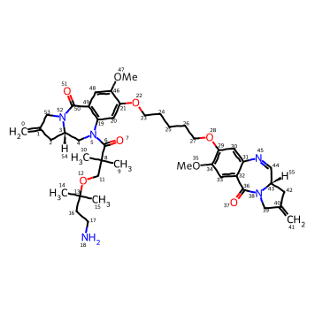 C=C1C[C@H]2CN(C(=O)C(C)(C)COC(C)(C)CCN)c3cc(OCCCCCOc4cc5c(cc4OC)C(=O)N4CC(=C)C[C@H]4C=N5)c(OC)cc3C(=O)N2C1